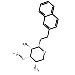 CO[C@@H]1[C@H](N)[C@H](CCc2ccc3ccccc3c2)OC[C@@H]1C